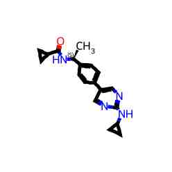 C[C@H](NC(=O)C1CC1)c1ccc(-c2cnc(NC3CC3)nc2)cc1